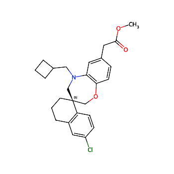 COC(=O)Cc1ccc2c(c1)N(CC1CCC1)C[C@@]1(CCCc3cc(Cl)ccc31)CO2